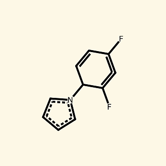 FC1=C=C(F)C(n2cccc2)C=C1